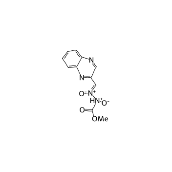 COC(=O)[NH+]([O-])[N+]([O-])=Cc1cnc2ccccc2n1